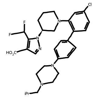 CC(C)CN1CCN(c2ccc(-c3ccc(Cl)cc3N3CCC[C@H](n4ncc(C(=O)O)c4C(F)F)C3)cc2)CC1